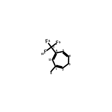 CC1=CCC=CC(C(F)(F)F)=C1